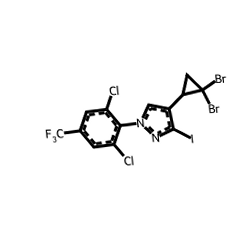 FC(F)(F)c1cc(Cl)c(-n2cc(C3CC3(Br)Br)c(I)n2)c(Cl)c1